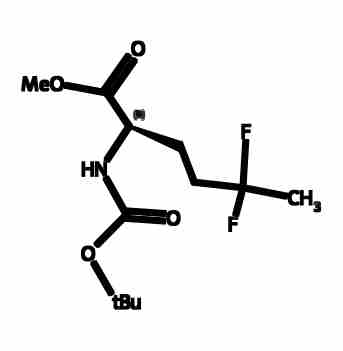 COC(=O)[C@@H](CCC(C)(F)F)NC(=O)OC(C)(C)C